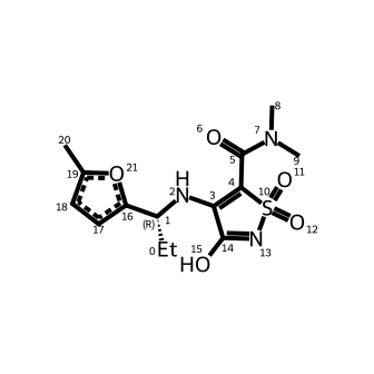 CC[C@@H](NC1=C(C(=O)N(C)C)S(=O)(=O)N=C1O)c1ccc(C)o1